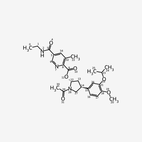 CCNC(=O)c1cnc(C(=O)O[C@@H]2C[C@@H](c3ccc(OC)c(OC(C)C)c3)CN2C(C)=O)c(C)c1